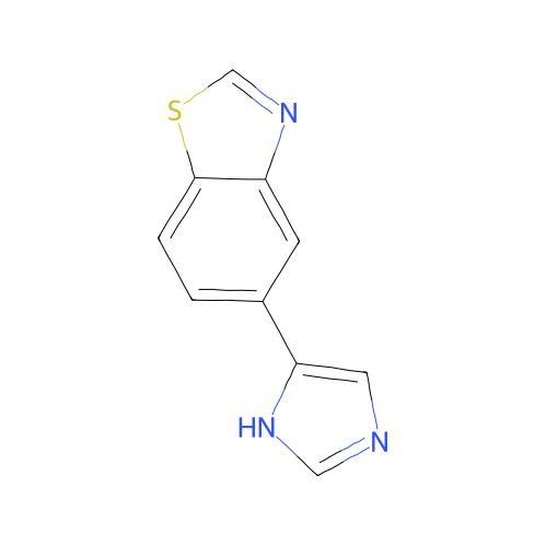 c1ncc(-c2ccc3scnc3c2)[nH]1